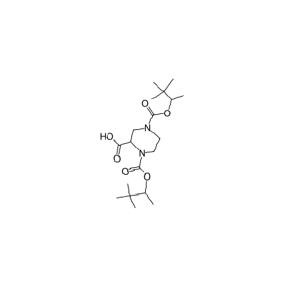 CC(OC(=O)N1CCN(C(=O)OC(C)C(C)(C)C)C(C(=O)O)C1)C(C)(C)C